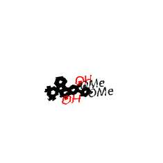 COc1ccc(-c2cc3c(O)cc4c(c3cc2CO)-c2ccccc2C42CC(C)(C)CC(C)(C)C2)c(OC)c1